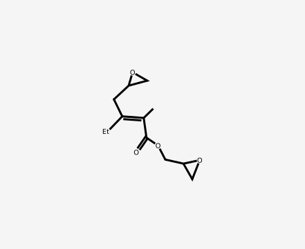 CCC(CC1CO1)=C(C)C(=O)OCC1CO1